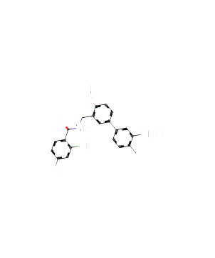 CCOc1ccc(-c2ccc(C)c(C=O)c2)cc1CNC(=O)c1ccc(Cl)cc1Cl